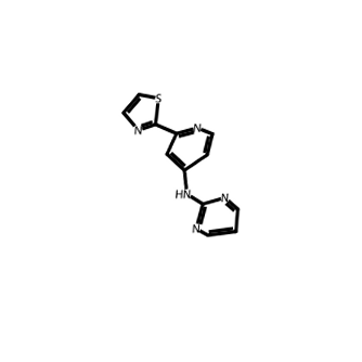 c1cnc(Nc2ccnc(-c3nccs3)c2)nc1